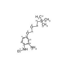 CCNc1ccc(OCOCC[Si](C)(C)C)cc1N